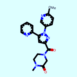 COc1ccc(-n2nc(C(=O)N3CCN(C)C(=O)C3)cc2-c2ccccn2)cn1